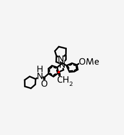 C=CCN1CC2CCCC(C1)N2C(c1ccc(C(=O)NC2CCCCC2)cc1)c1cccc(OC)c1